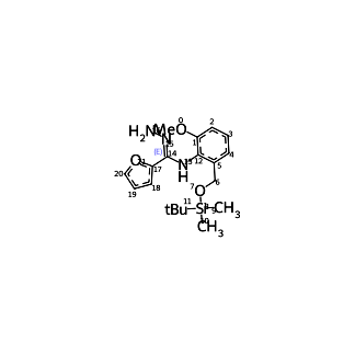 COc1cccc(CO[Si](C)(C)C(C)(C)C)c1N/C(=N/N)c1ccco1